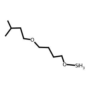 CC(C)CCOCCCCO[SiH3]